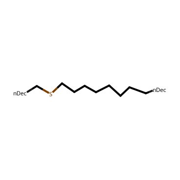 CCCCCCCCCCCCCCCCCCSCCCCCCCCCCC